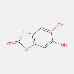 O=c1oc2cc(O)c(O)cc2s1